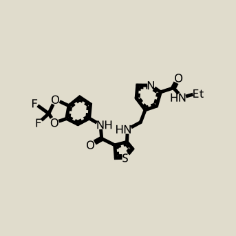 CCNC(=O)c1cc(CNc2cscc2C(=O)Nc2ccc3c(c2)OC(F)(F)O3)ccn1